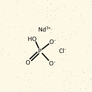 O=P([O-])([O-])O.[Cl-].[Nd+3]